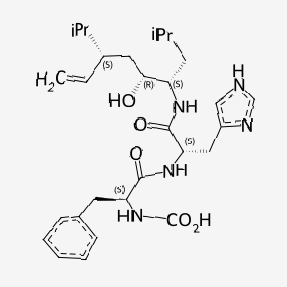 C=C[C@@H](C[C@@H](O)[C@H](CC(C)C)NC(=O)[C@H](Cc1c[nH]cn1)NC(=O)[C@H](Cc1ccccc1)NC(=O)O)C(C)C